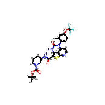 Cc1cc(OC(F)(F)F)ccc1N1C(=O)Nc2c(C(=O)NC3CCCN(C(=O)OC(C)(C)C)C3)sc3nccc1c23